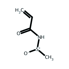 C=CC(=O)N[S+](C)[O-]